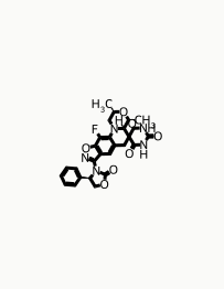 C[C@H]1CN2c3c(cc4c(N5C(=O)OC[C@H]5c5ccccc5)noc4c3F)CC3(C(=O)NC(=O)NC3=O)[C@@H]2[C@@H](C)O1